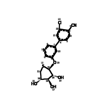 N#Cc1ccc(-c2cncc(O[C@@H]3SC[C@@H](O)[C@H](O)[C@H]3O)c2)cc1Cl